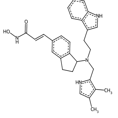 Cc1c[nH]c(CN(CCc2c[nH]c3ccccc23)C2CCc3cc(C=CC(=O)NO)ccc32)c1C